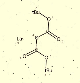 CC(C)(C)OC(=O)OC(=O)OC(C)(C)C.[La]